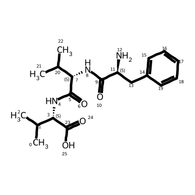 CC(C)[C@H](NC(=O)[C@@H](NC(=O)[C@@H](N)Cc1ccccc1)C(C)C)C(=O)O